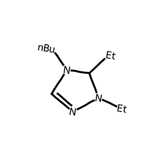 CCCCN1C=NN(CC)C1CC